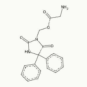 NCC(=O)OCN1C(=O)NC(c2ccccc2)(c2ccccc2)C1=O